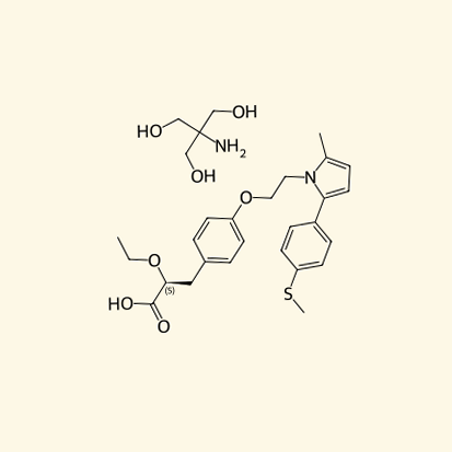 CCO[C@@H](Cc1ccc(OCCn2c(C)ccc2-c2ccc(SC)cc2)cc1)C(=O)O.NC(CO)(CO)CO